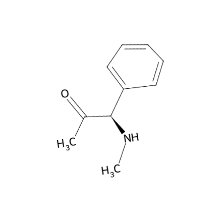 CN[C@@H](C(C)=O)c1ccccc1